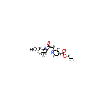 C=CCOC(=O)c1ccnc(/C=C2/C(=O)N3C2CC(C)(C)[C@@H]3C(=O)O)c1